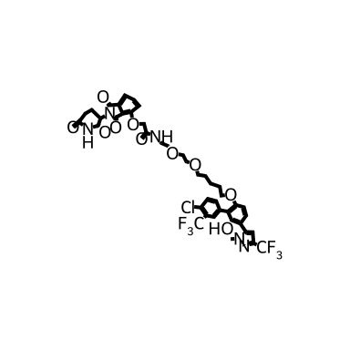 Cn1nc(C(F)(F)F)cc1-c1ccc(OCCCCCOCCOCCNC(=O)COc2cccc3c2C(=O)N(C2CCC(=O)NC2=O)C3=O)c(-c2ccc(Cl)c(C(F)(F)F)c2)c1O